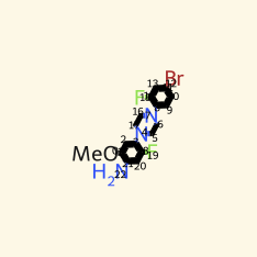 COc1cc(N2CCN(c3ccc(Br)cc3F)CC2)c(F)cc1N